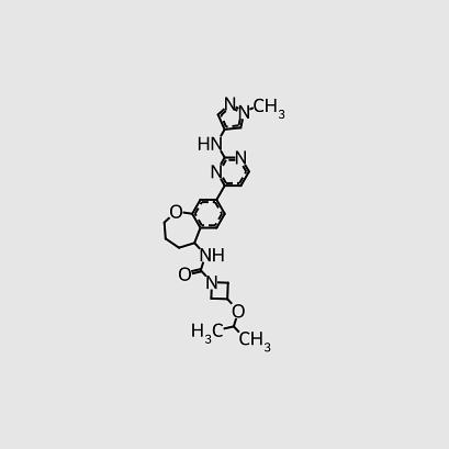 CC(C)OC1CN(C(=O)NC2CCCOc3cc(-c4ccnc(Nc5cnn(C)c5)n4)ccc32)C1